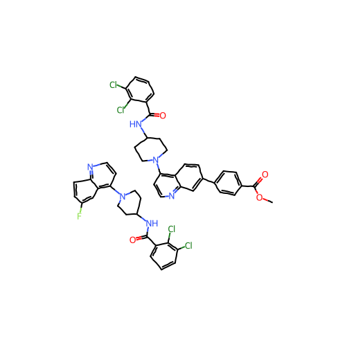 COC(=O)c1ccc(-c2ccc3c(N4CCC(NC(=O)c5cccc(Cl)c5Cl)CC4)ccnc3c2)cc1.O=C(NC1CCN(c2ccnc3ccc(F)cc23)CC1)c1cccc(Cl)c1Cl